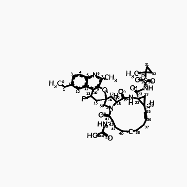 CCc1ccc2nc(C)c3c(c2c1)C(F)C[C@]1(C[C@H]2C(=O)N[C@]4(C(=O)NS(=O)(=O)C5(C)CC5)C[C@H]4/C=C\CCCCC[C@H](NC(=O)O)C(=O)N2C1)O3